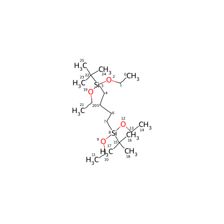 CCO[Si](CCCC[Si](OCC)(OCC)C(C)(C)C)(OCC)C(C)(C)C